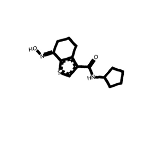 O=C(NC1CCCC1)c1csc2c1CCCC2=NO